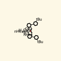 CCCCCC[Si](CCCCCC)=[Hf]([CH3])([CH3])([CH]1C=Cc2c(-c3cccc(C(C)(C)C)c3)cccc21)[CH]1C=Cc2c(-c3cccc(C(C)(C)C)c3)cccc21